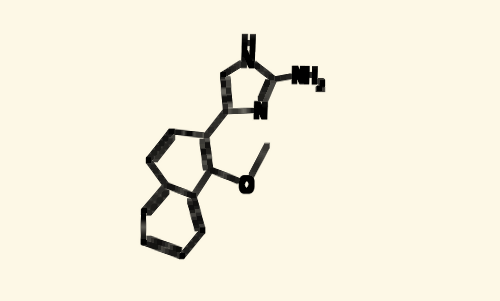 COc1c(-c2c[nH]c(N)n2)ccc2ccccc12